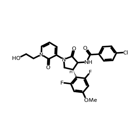 COc1cc(F)c([C@@H]2CN(c3cccn(CCO)c3=O)C(=O)C2NC(=O)c2ccc(Cl)cc2)c(F)c1